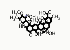 COC1/C(=N/O)C(OC)C(NC2=CC(=O)c3c(cc4c(c3O)C(=O)C3(OC)C(=NO)Cc5cc(C)c(C(=O)O)c(O)c5C3(O)C4=O)C2=O)OC1C